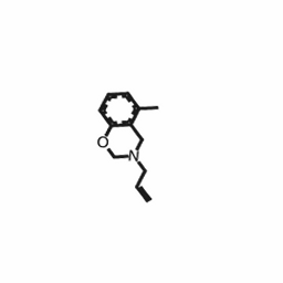 C=CCN1COc2cccc(C)c2C1